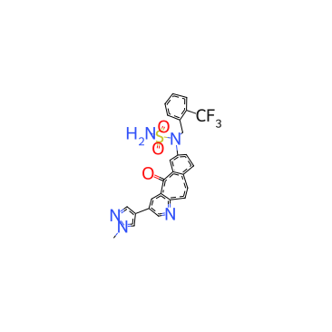 Cn1cc(-c2cnc3ccc4ccc(N(Cc5ccccc5C(F)(F)F)S(N)(=O)=O)cc4c(=O)c3c2)cn1